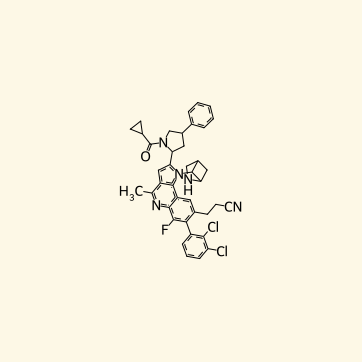 Cc1nc2c(F)c(-c3cccc(Cl)c3Cl)c(CCC#N)cc2c2c1cc(C1CC(c3ccccc3)CN1C(=O)C1CC1)n2C1C2CNC1C2